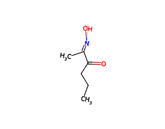 CCCC(=O)/C(C)=N/O